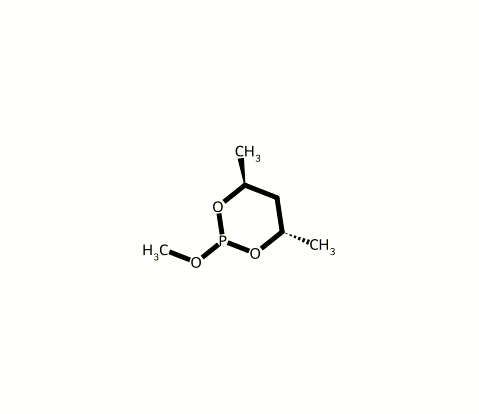 COP1O[C@@H](C)C[C@H](C)O1